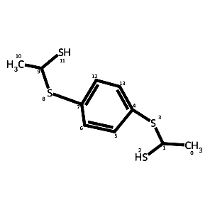 CC(S)Sc1ccc(SC(C)S)cc1